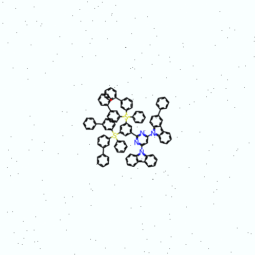 c1ccc(-c2cccc(S(c3ccccc3)(c3cccc(-c4ccccc4)c3)c3cc(-c4nc(-n5c6ccccc6c6ccccc65)cc(-n5c6ccccc6c6cc(-c7ccccc7)ccc65)n4)cc(S(c4ccccc4)(c4cccc(-c5ccccc5)c4)c4cccc(-c5ccccc5)c4)c3)c2)cc1